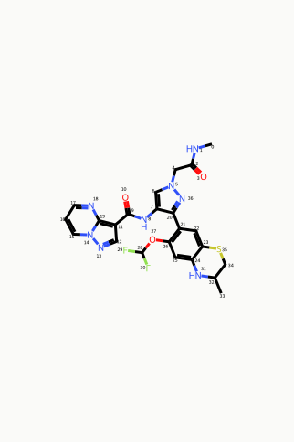 CNC(=O)Cn1cc(NC(=O)c2cnn3cccnc23)c(-c2cc3c(cc2OC(F)F)NC(C)CS3)n1